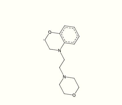 [C]1CN(CCN2CCOCC2)c2ccccc2O1